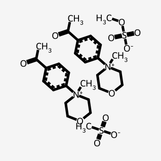 CC(=O)c1ccc([N+]2(C)CCOCC2)cc1.CC(=O)c1ccc([N+]2(C)CCOCC2)cc1.COS(=O)(=O)[O-].CS(=O)(=O)[O-]